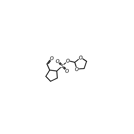 O=CC1CCCC1S(=O)(=O)OC1OCCO1